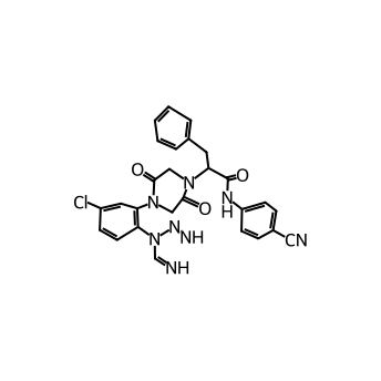 N#Cc1ccc(NC(=O)C(Cc2ccccc2)N2CC(=O)N(c3cc(Cl)ccc3N(C=N)N=N)CC2=O)cc1